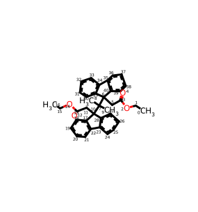 CCOC(=O)CC1(C(C)(C)C2(CC(=O)OCC)c3ccccc3-c3ccccc32)c2ccccc2-c2ccccc21